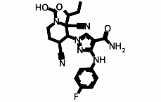 CCC(C)C1(C#N)C(n2cc(C(N)=O)c(Nc3ccc(F)cc3)n2)C(C#N)CCN1C(=O)O